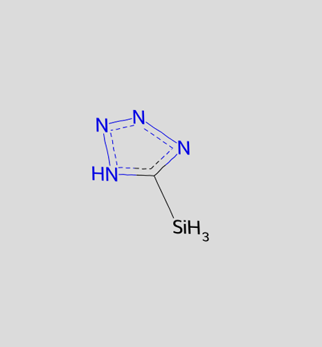 [SiH3]c1nnn[nH]1